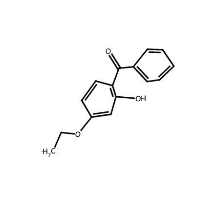 [CH2]COc1ccc(C(=O)c2ccccc2)c(O)c1